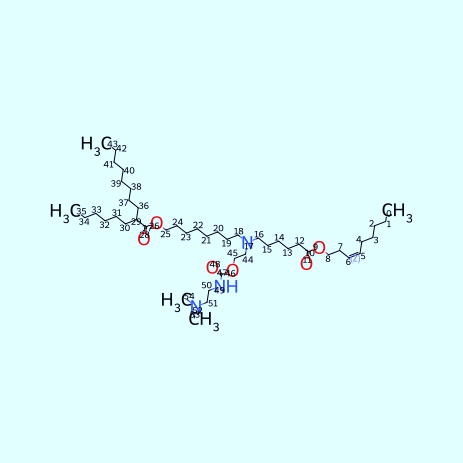 CCCCC/C=C\CCOC(=O)CCCCCN(CCCCCCCCOC(=O)C(CCCCCC)CCCCCCCC)CCOC(=O)NCCN(C)C